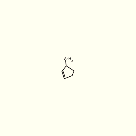 [AsH2]C1C=CCC1